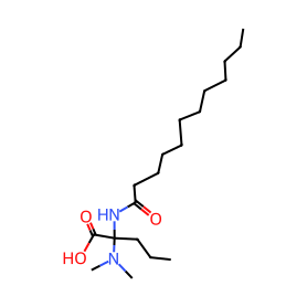 CCCCCCCCCCCC(=O)NC(CCC)(C(=O)O)N(C)C